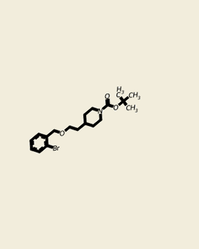 CC(C)(C)OC(=O)N1CCC(CCOCc2ccccc2Br)CC1